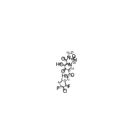 O=C(NCc1ccc(F)c(Cl)c1F)c1cn2c(c(O)c1=O)C(=O)N1CCO[C@@H]1C2